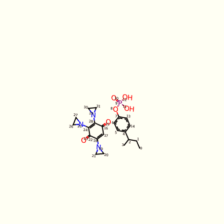 CCC(C)c1ccc(OP(=O)(O)O)cc1.O=C1C=C(N2CC2)C(=O)C(N2CC2)=C1N1CC1